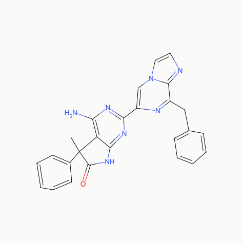 CC1(c2ccccc2)C(=O)Nc2nc(-c3cn4ccnc4c(Cc4ccccc4)n3)nc(N)c21